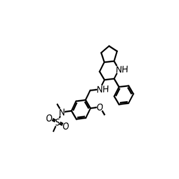 COc1ccc(N(C)S(C)(=O)=O)cc1CNC1CC2CCCC2NC1c1ccccc1